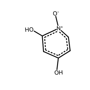 [O-][n+]1ccc(O)cc1O